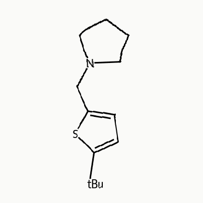 CC(C)(C)c1ccc(CN2CCCC2)s1